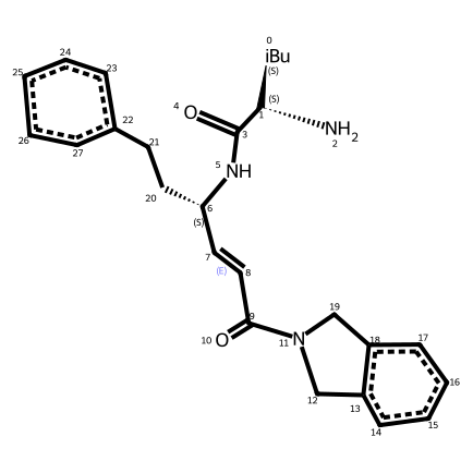 CC[C@H](C)[C@H](N)C(=O)N[C@H](/C=C/C(=O)N1Cc2ccccc2C1)CCc1ccccc1